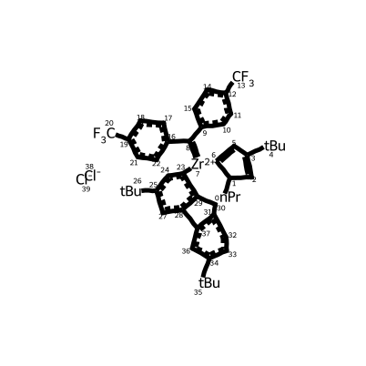 CCCC1C=C(C(C)(C)C)C=[C]1[Zr+2](=[C](c1ccc(C(F)(F)F)cc1)c1ccc(C(F)(F)F)cc1)[c]1cc(C(C)(C)C)cc2c1Cc1ccc(C(C)(C)C)cc1-2.[Cl-].[Cl-]